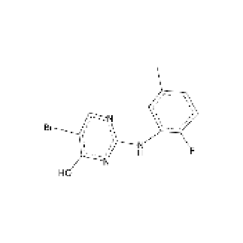 Cc1ccc(F)c(Nc2ncc(Br)c(O)n2)c1